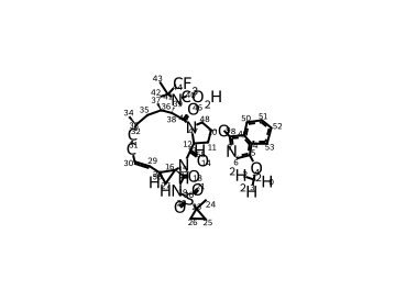 [2H]C([2H])([2H])Oc1cnc(O[C@@H]2C[C@H]3C(=O)N[C@]4(C(=O)NS(=O)(=O)C5(C)CC5)C[C@H]4/C=C\CC[C@@H](C)C[C@@H](C)[C@H](N(C(=O)O)C(C)(C)C(F)(F)F)C(=O)N3C2)c2ccccc12